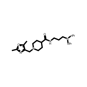 CCCN(CCC)CCCNC(=O)C1CCN(Cc2nc(C)oc2C)CC1